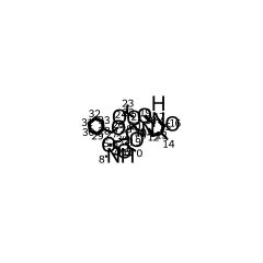 CC[C@]1(CS(=O)(=O)NC)O[C@@H](n2cc(C)c(=O)[nH]c2=O)[C@@H](OC(C)=O)C1OCc1ccccc1